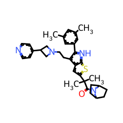 Cc1cc(C)cc(-c2[nH]c3sc(C(C)(C)C(=O)N4C5CCC4CC5)cc3c2CCN2CC(c3ccncc3)C2)c1